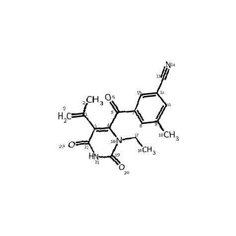 C=C(C)c1c(C(=O)c2cc(C)cc(C#N)c2)n(CC)c(=O)[nH]c1=O